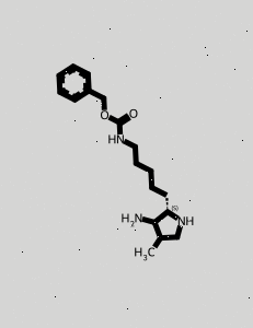 CC1CN[C@@H](CCCCCNC(=O)OCc2ccccc2)C1N